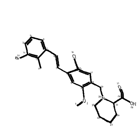 COc1cc(C=Cc2cccc(Br)c2C)c(Cl)cc1CN1CCCCC1C(=O)O